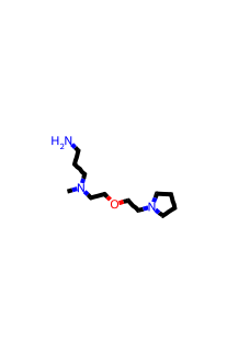 CN(CCCN)CCOCCN1CCCC1